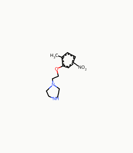 Cc1ccc([N+](=O)[O-])cc1OCCN1CCNCC1